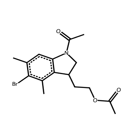 CC(=O)OCCC1CN(C(C)=O)c2cc(C)c(Br)c(C)c21